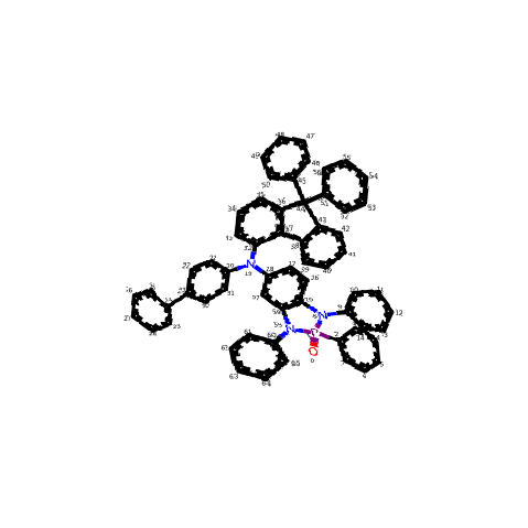 O=P1(c2ccccc2)N(c2ccccc2)c2ccc(N(c3ccc(-c4ccccc4)cc3)c3cccc4c3-c3ccccc3C4(c3ccccc3)c3ccccc3)cc2N1c1ccccc1